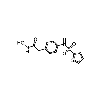 O=C(Cc1ccc(NS(=O)(=O)c2cccs2)cc1)NO